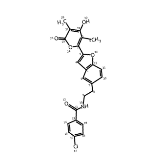 Cc1c(-c2cc3cc(CCNC(=O)c4ccc(Cl)cc4)ccc3o2)oc(=O)c(C)c1O